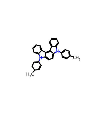 Cc1ccc(-n2c3ccccc3c3c4c5ccccc5n(C5=CCC(C)C=C5)c4ccc32)cc1